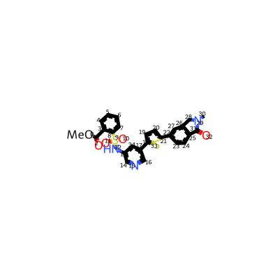 COC(=O)c1ccccc1S(=O)(=O)Nc1cncc(-c2ccc(-c3ccc4c(c3)CN(C)C4=O)s2)c1